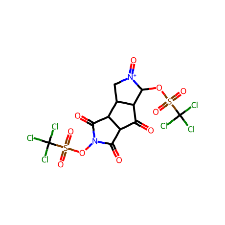 O=C1C2C(=O)N(OS(=O)(=O)C(Cl)(Cl)Cl)C(=O)C2C2C[N+](=O)C(OS(=O)(=O)C(Cl)(Cl)Cl)C12